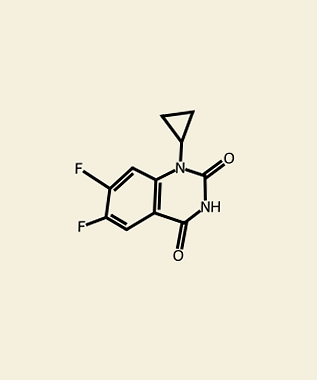 O=c1[nH]c(=O)n(C2CC2)c2cc(F)c(F)cc12